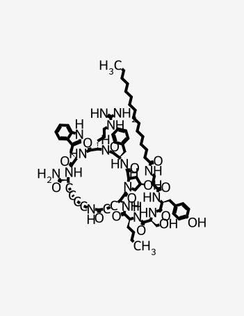 CCCCCCCCCCCCCCCC(=O)NCCC(=O)N[C@@H](Cc1ccc(O)cc1)C(=O)N[C@@H](CO)C(=O)N[C@@H](CCCC)C(=O)N[C@H]1CCC(=O)NCCCC[C@@H](C(N)=O)NC(=O)[C@H](Cc2c[nH]c3ccccc23)NC(=O)[C@H](CCCNC(=N)N)NC(=O)[C@@H](Cc2ccccc2)NC(=O)[C@@H]2C[C@@H](O)CN2C1=O